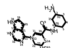 Cl.N[C@H]1CCC[C@H](NC(=O)C2=CN(c3ncnc4[nH]ccc34)CCS2)C1